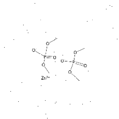 COP(=O)([O-])OC.COP(=O)([O-])OC.[Zn+2]